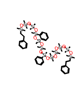 C[Si](C)(CCc1ccccc1)O[Si](C)(C)O[Si](C)(C)O[Si](C)(C)O[Si](C)(C)O[Si](C)(O[Si](C)(C)O[Si](C)(C)O[Si](C)(O[Si](C)(C)O[Si](C)(C)O[Si](C)(C)CCc1ccccc1)c1ccccc1)c1ccccc1